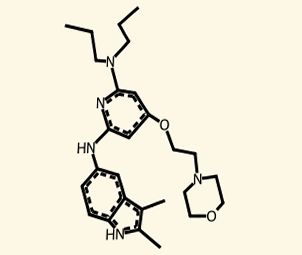 CCCN(CCC)c1cc(OCCN2CCOCC2)cc(Nc2ccc3[nH]c(C)c(C)c3c2)n1